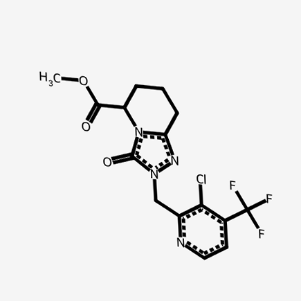 COC(=O)C1CCCc2nn(Cc3nccc(C(F)(F)F)c3Cl)c(=O)n21